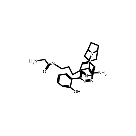 NCC(=O)NCCCc1cc(N2C3CCC2CN(c2cc(-c4ccccc4O)nnc2N)C3)ccn1